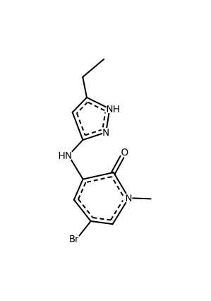 CCc1cc(Nc2cc(Br)cn(C)c2=O)n[nH]1